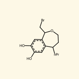 CCCC1CCOC(CBr)c2cc(O)c(O)cc21